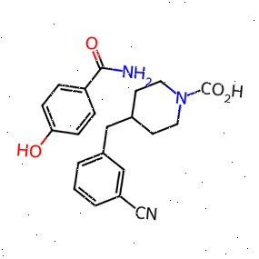 N#Cc1cccc(CC2CCN(C(=O)O)CC2)c1.NC(=O)c1ccc(O)cc1